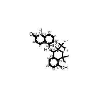 CC1(C)CC(O)(C(F)(F)F)C(Nc2cccc3[nH]c(=O)ccc23)c2cccc(O)c21